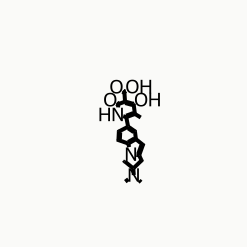 Cc1c(-c2ccc3c(c2)cc2n3CC(N(C)C)C2)[nH]c(=O)c(C(=O)O)c1O